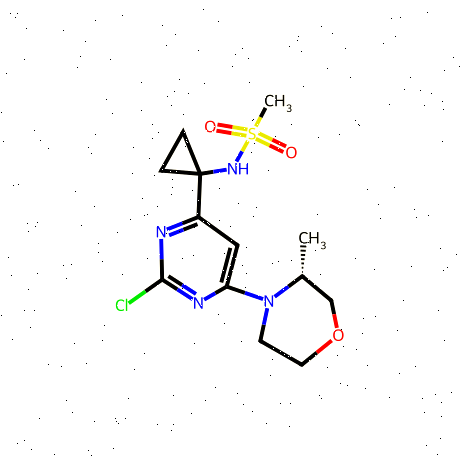 C[C@@H]1COCCN1c1cc(C2(NS(C)(=O)=O)CC2)nc(Cl)n1